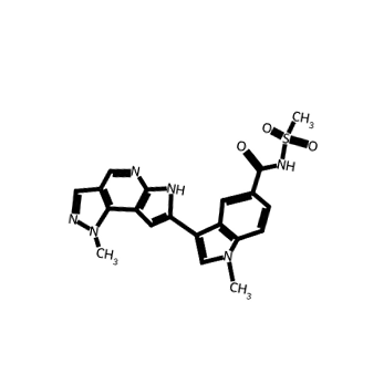 Cn1cc(-c2cc3c(ncc4cnn(C)c43)[nH]2)c2cc(C(=O)NS(C)(=O)=O)ccc21